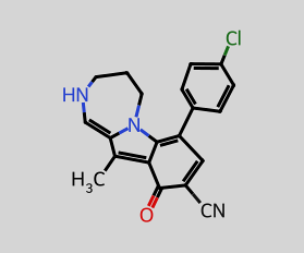 Cc1c2c(n3c1=CNCCC3)=C(c1ccc(Cl)cc1)C=C(C#N)C2=O